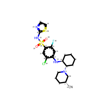 N#C[C@@H]1CCCN([C@H]2CCCC[C@@H]2Nc2cc(F)c(S(=O)(=O)Nc3nccs3)cc2Cl)C1